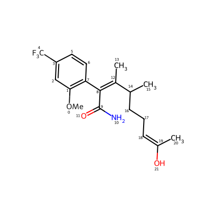 COc1cc(C(F)(F)F)ccc1/C(C(N)=O)=C(\C)C(C)CC/C=C(\C)O